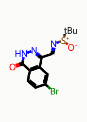 CC(C)(C)[S+]([O-])N=Cc1n[nH]c(=O)c2ccc(Br)cc12